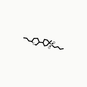 CCCCS(=O)(=O)C1(C)CCC(C2CCC(CCC)CC2)CC1